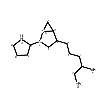 CCCC(CCCC1CN(C2CCCN2)N2CC12)CC(C)(C)C